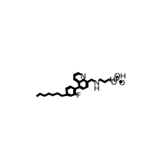 CCCCCCCc1ccc(-c2ccc(CNCCCO[PH](=O)O)c3ncccc23)c(F)c1